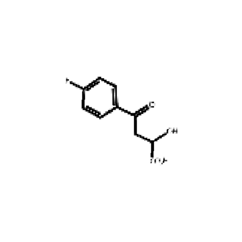 O=C(CC(O)C(=O)O)c1ccc(F)cc1